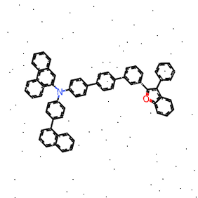 c1ccc(-c2c(-c3cccc(-c4ccc(-c5ccc(N(c6ccc(-c7cccc8ccccc78)cc6)c6cc7ccccc7c7ccccc67)cc5)cc4)c3)oc3ccccc23)cc1